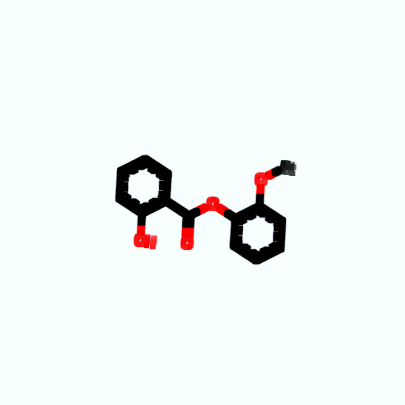 CCOc1ccccc1OC(=O)c1ccccc1O